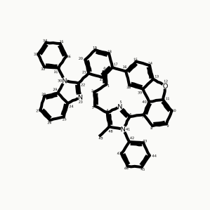 C=C/C=C\c1nc(-c2cccc3oc4ccc(-c5cccc(-c6nc7ccccc7n6-c6ccccc6)c5)cc4c23)n(-c2ccccc2)c1C